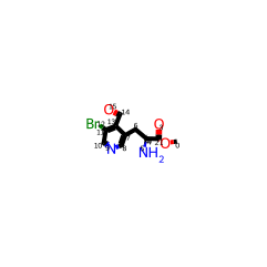 COC(=O)[C@@H](N)Cc1cncc(Br)c1C=O